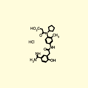 Cc1cc(NC(=O)Cc2cc(C(=N)N)ccc2O)ccc1N(C(=O)CC(=O)O)C1CCCC1.Cl